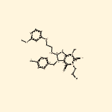 COc1cccc(OCCOC2Nc3c(c(=O)n(CCO)c(=O)n3C)N2Cc2ccc(Cl)cc2)c1